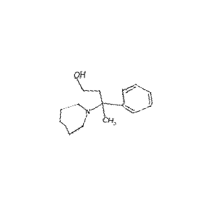 CC(CCO)(c1ccccc1)N1CCCCC1